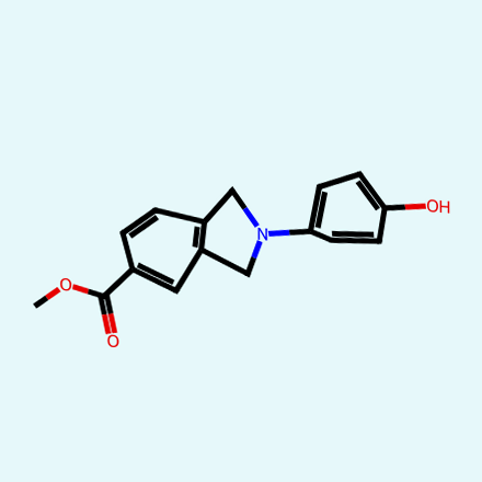 COC(=O)c1ccc2c(c1)CN(c1ccc(O)cc1)C2